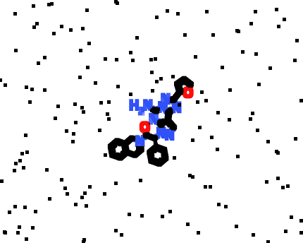 Nc1nc2c(cnn2[C@@H](C(=O)N2CCc3ccccc3C2)c2ccccc2)c2nc(-c3ccco3)nn12